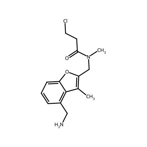 Cc1c(CN(C)C(=O)CCCl)oc2cccc(CN)c12